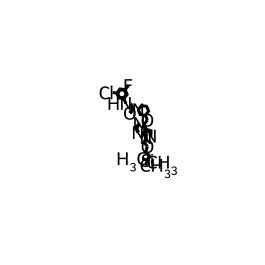 C[Si](C)(C)CCOCn1ncc2c(OC3CCCN(C(=O)CNc4cc(F)cc(Cl)c4)C3)ncnc21